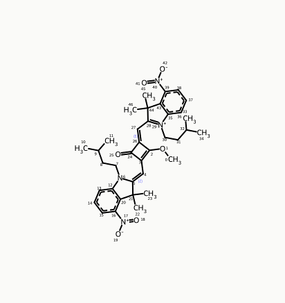 COC1=C(/C=C2\N(CCC(C)C)c3cccc([N+](=O)[O-])c3C2(C)C)C(=O)/C1=C/C1=[N+](CCC(C)C)c2cccc([N+](=O)[O-])c2C1(C)C